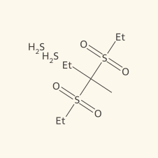 CCC(C)(S(=O)(=O)CC)S(=O)(=O)CC.S.S